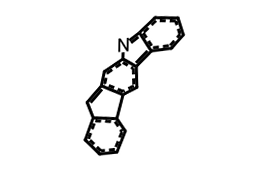 C1=c2cc3c(cc2-c2ccccc21)=c1ccccc1=N3